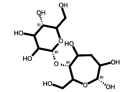 OCC1O[C@H](O[C@@H]2C(O)CC(O)[C@H](O)OC2CO)C(O)C(O)[C@@H]1O